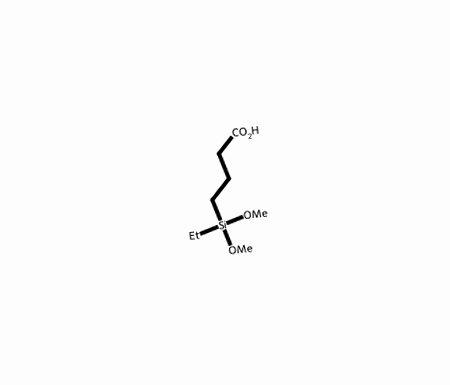 CC[Si](CCCC(=O)O)(OC)OC